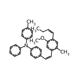 CC/C=C\c1cc(C)c(/C=C\c2ccc(N(c3ccccc3)c3ccc(C)cc3)cc2)cc1OC